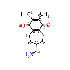 CC1=C(C)C(=O)C2=C(CCC(CN)CC2)C1=O